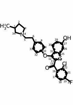 CC1CCN(CCc2ccc(Oc3c(C(=O)c4ccc(F)cc4Cl)sc4cc(O)ccc34)cc2)C1